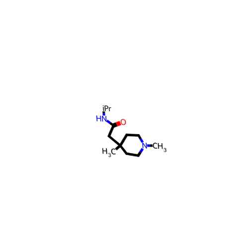 CC(C)NC(=O)CC1(C)CCN(C)CC1